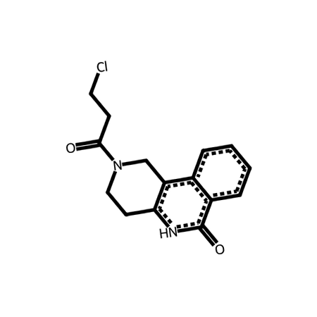 O=C(CCCl)N1CCc2[nH]c(=O)c3ccccc3c2C1